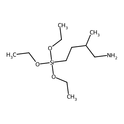 CCO[Si](CCC(C)CN)(OCC)OCC